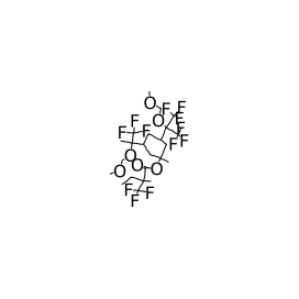 CCC(C)(C(=O)OC1(C)CC(C(C)(OCOC)C(F)(F)F)CC(C(OCOC)(C(F)(F)F)C(F)(F)F)C1)C(F)(F)F